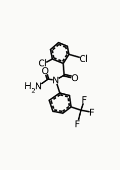 NC(=O)N(C(=O)c1c(Cl)cccc1Cl)c1cccc(C(F)(F)F)c1